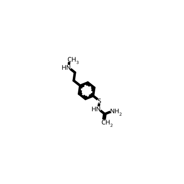 C=C(N)NSc1ccc(CCNC)cc1